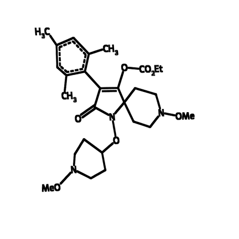 CCOC(=O)OC1=C(c2c(C)cc(C)cc2C)C(=O)N(OC2CCN(OC)CC2)C12CCN(OC)CC2